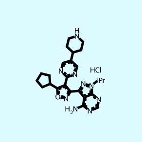 CC(C)n1nc(-c2noc(C3CCCC3)c2-c2ncc(C3CCNCC3)cn2)c2c(N)ncnc21.Cl